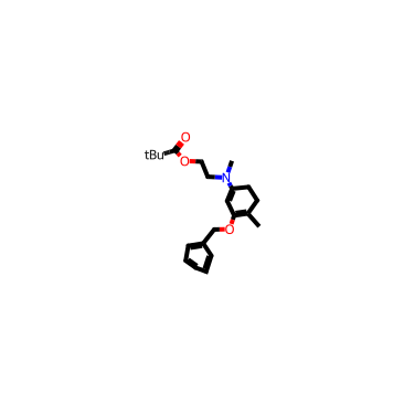 CC1=C(OCc2ccccc2)C=C(N(C)CCOC(=O)C(C)(C)C)CC1